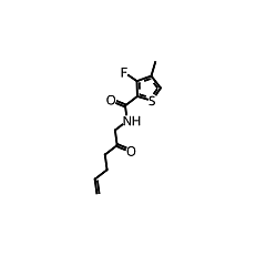 C=CCCC(=O)CNC(=O)c1scc(C)c1F